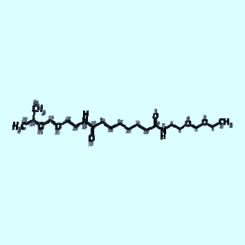 CCOCOCCNC(=O)CCCCCCC(=O)NCCOCOC(C)C